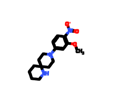 COc1cc(N2CCC3(CCCCN3)CC2)ccc1[N+](=O)[O-]